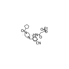 CCS(=O)(=O)CCC(=O)Nc1cc(C#N)cc(CN2CCN(C(=O)C3CCCC3)[C@@H](C)C2)c1C